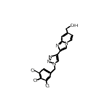 OCc1ccn2cc(-c3cn(Cc4cc(Cl)c(Cl)c(Cl)c4)nn3)nc2c1